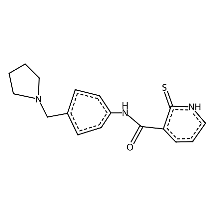 O=C(Nc1ccc(CN2CCCC2)cc1)c1ccc[nH]c1=S